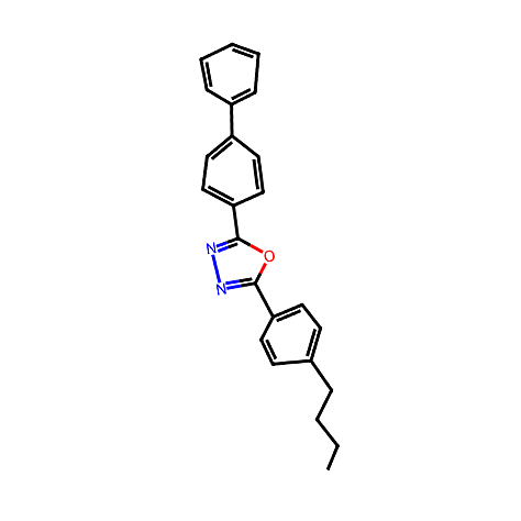 CCCCc1ccc(-c2nnc(-c3ccc(-c4ccccc4)cc3)o2)cc1